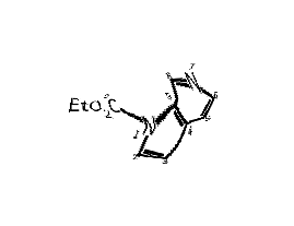 CCOC(=O)n1ccc2ccncc21